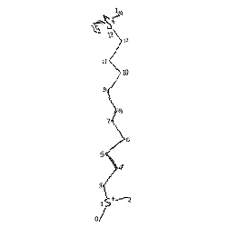 C[S+](C)CCCCCCCCCC[S+](C)C